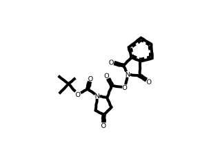 CC(C)(C)OC(=O)N1CC(=O)CC1C(=O)ON1C(=O)c2ccccc2C1=O